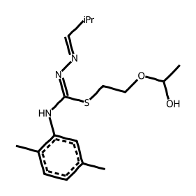 Cc1ccc(C)c(N/C(=N/N=C/C(C)C)SCCOC(C)O)c1